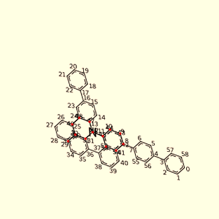 c1ccc(-c2ccc(-c3ccc(N(c4ccc(-c5ccccc5)cc4-c4ccccc4)c4ccccc4-c4cccc5cccc(C6CCCCC6)c45)cc3)cc2)cc1